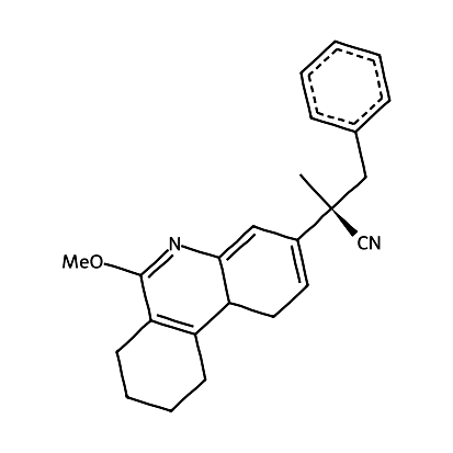 COC1=NC2=CC([C@@](C)(C#N)Cc3ccccc3)=CCC2C2=C1CCCC2